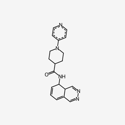 O=C(NC1C=CC=C2C=NN=CC21)C1CCN(c2ccncc2)CC1